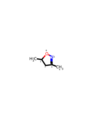 C[C]1CC(C)=NO1